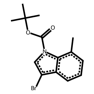 Cc1cccc2c(Br)cn(C(=O)OC(C)(C)C)c12